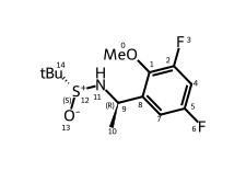 COc1c(F)cc(F)cc1[C@@H](C)N[S@+]([O-])C(C)(C)C